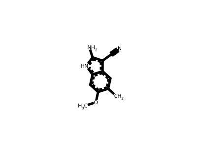 COc1cc2[nH]c(N)c(C#N)c2cc1C